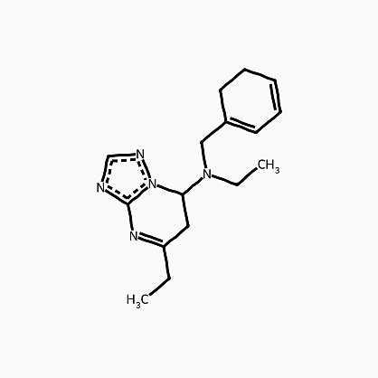 CCC1=Nc2ncnn2C(N(CC)CC2=CC=CCC2)C1